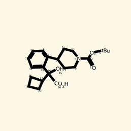 CC(C)(C)OC(=O)N1CCC(c2ccccc2C(O)(C(=O)O)C2CCC2)CC1